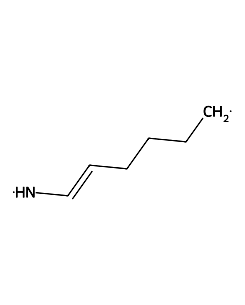 [CH2]CCCC=C[NH]